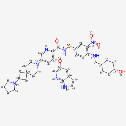 O=C(NSc1ccc(NCC2CCC(O)CC2)c([N+](=O)[O-])c1)c1ncc(N2CCC3(CC2)CC(N2CCCC2)C3)cc1Oc1cnc2[nH]ccc2c1